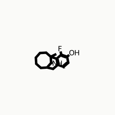 CC12CCCCCC(Cc3ccc(O)c(F)c31)C2N